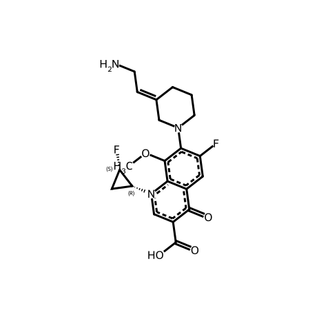 COc1c(N2CCCC(=CCN)C2)c(F)cc2c(=O)c(C(=O)O)cn([C@@H]3C[C@@H]3F)c12